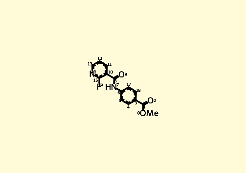 COC(=O)c1ccc(NC(=O)c2cccnc2F)cc1